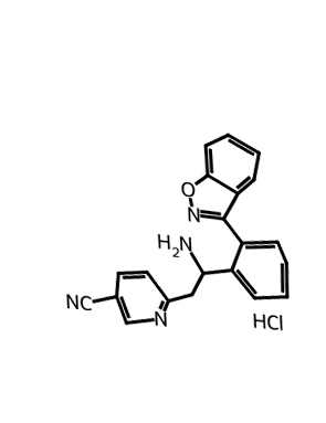 Cl.N#Cc1ccc(CC(N)c2ccccc2-c2noc3ccccc23)nc1